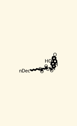 CCCCCCCCCCCCCCCCOC(=O)CCC(=O)OCC(=O)[C@H]1[C@H](C)CC2[C@@H]3CCC4=CC(=O)C=C[C@]4(C)C3[C@@H](O)C[C@@]21C